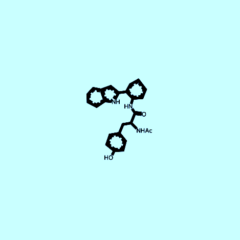 CC(=O)NC(Cc1ccc(O)cc1)C(=O)Nc1ccccc1-c1cc2ccccc2[nH]1